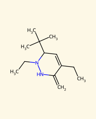 C=C1NN(CC)C(C(C)(C)C)C=C1CC